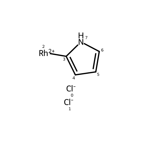 [Cl-].[Cl-].[Rh+2][c]1ccc[nH]1